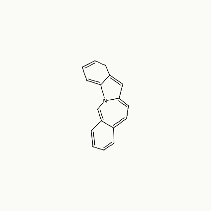 C1=CCc2cc3n(c2=C1)C=c1ccccc1=CC=3